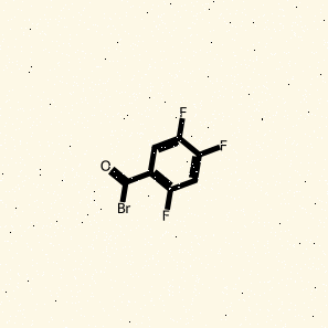 O=C(Br)c1cc(F)c(F)cc1F